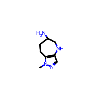 Cn1ncc2c1CCC(N)CN2